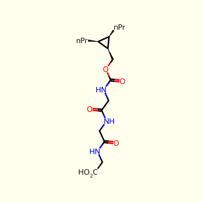 CCC[C@@H]1[C@H](CCC)[C@@H]1COC(=O)NCC(=O)NCC(=O)NCC(=O)O